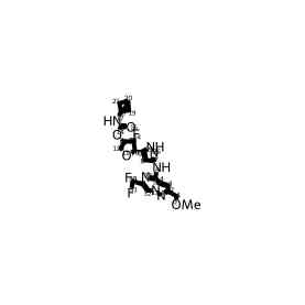 COCc1cc2c(Nc3cc([C@H]4OC[C@@H](OC(=O)NC56CC(C5)C6)[C@H]4F)[nH]n3)nc(C(F)F)cn2n1